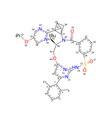 Cc1cccc(C)c1-c1cc2nc(n1)NS(=O)(=O)c1cccc(c1)C(=O)N(C13CC(C1)C3c1ncc(OC(C)C)cn1)[C@H](CC(C)(C)C)CO2